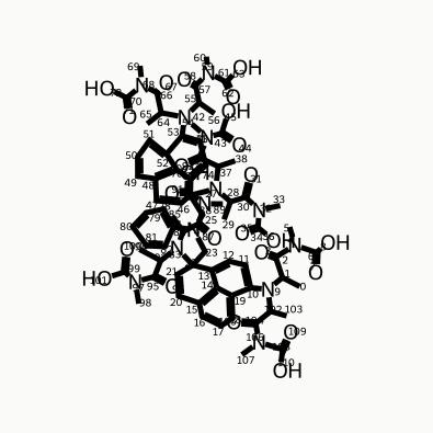 CC(C(=O)N(C)C(=O)O)N(c1ccc2c3c(cccc13)C=CC2(CN(CC1(N(C(C)C(=O)N(C)C(=O)O)C(C)C(=O)N(C)C(=O)O)C=Cc2cccc3c(N(C(C)C(=O)N(C)C(=O)O)C(C)C(=O)N(C)C(=O)O)ccc1c23)c1ccccc1)N(C(C)C(=O)N(C)C(=O)O)C(C)C(=O)N(C)C(=O)O)C(C)C(=O)N(C)C(=O)O